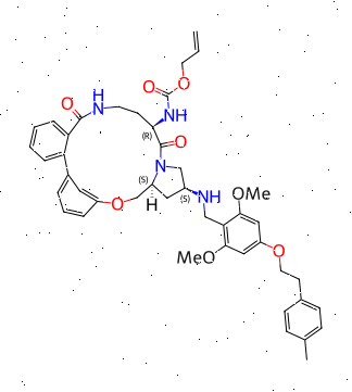 C=CCOC(=O)N[C@@H]1CCNC(=O)c2ccccc2-c2cccc(c2)OC[C@@H]2C[C@H](NCc3c(OC)cc(OCCc4ccc(C)cc4)cc3OC)CN2C1=O